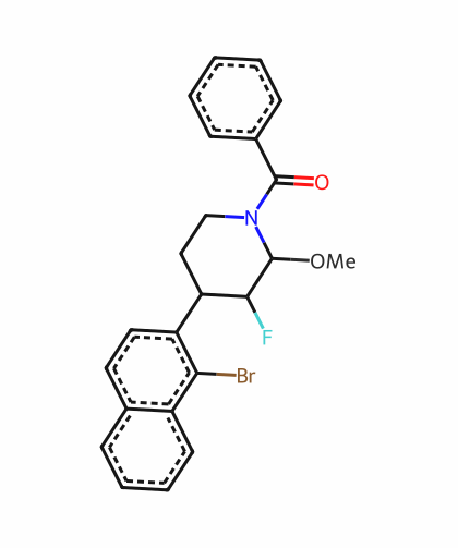 COC1C(F)C(c2ccc3ccccc3c2Br)CCN1C(=O)c1ccccc1